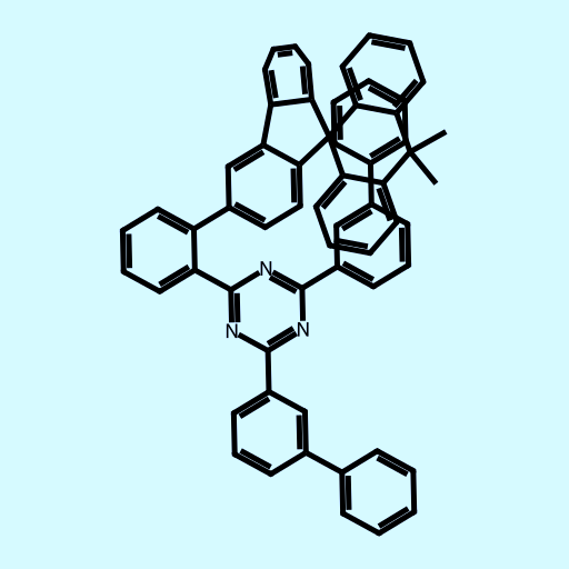 CC1(C)c2ccccc2C2(c3ccccc3-c3cc(-c4ccccc4-c4nc(-c5cccc(-c6ccccc6)c5)nc(-c5cccc(-c6ccccc6)c5)n4)ccc32)c2ccccc21